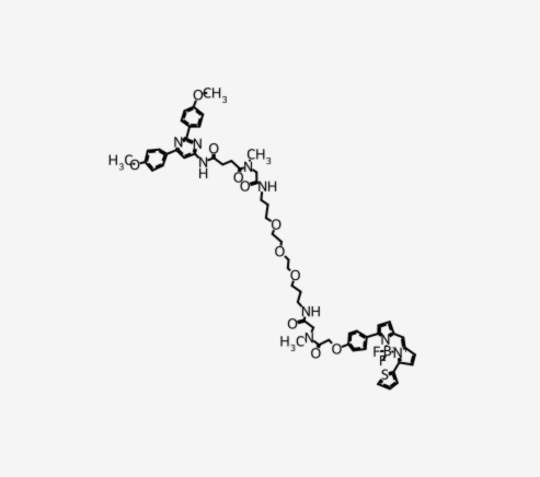 COc1ccc(-c2cc(NC(=O)CCC(=O)N(C)CC(=O)NCCCOCCOCCOCCCNC(=O)CN(C)C(=O)COc3ccc(-c4ccc5n4[B-](F)(F)[N+]4=C(c6cccs6)C=CC4=C5)cc3)nc(-c3ccc(OC)cc3)n2)cc1